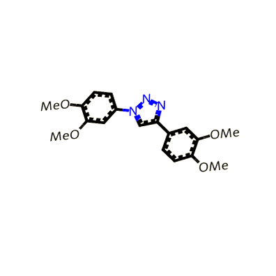 COc1ccc(-c2cn(-c3ccc(OC)c(OC)c3)nn2)cc1OC